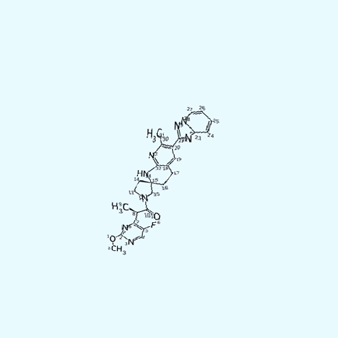 COc1ncc(F)c([C@@H](C)C(=O)N2CC[C@@]3(CCc4cc(-c5nc6ccccn6n5)c(C)nc4N3)C2)n1